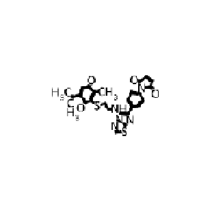 CC1=C(SCCNc2c(-c3ccc(N4C(=O)C=CC4=O)cc3)nc3scnn23)C(=O)C(C(C)C)=CC1=O